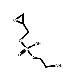 NCCOP(=O)(O)OCC1CO1